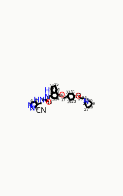 N#Cc1nnccc1CNC(=O)Nc1ccc(OCc2ccc(OCCN3CCCCC3)cc2)c2ccccc12